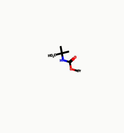 CC(C)OC(=O)NC(C)(C)C(=O)O